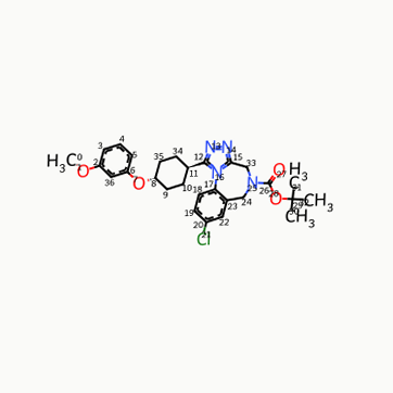 COc1cccc(O[C@H]2CC[C@H](c3nnc4n3-c3ccc(Cl)cc3CN(C(=O)OC(C)(C)C)C4)CC2)c1